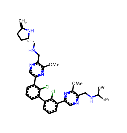 C=C1CC[C@@H](CNCc2ncc(-c3cccc(-c4cccc(-c5cnc(CNC(CCC)CCC)c(OC)n5)c4Cl)c3Cl)nc2OC)N1